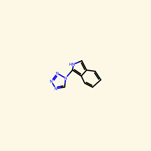 c1ccc2c(-n3cnnn3)[nH]cc2c1